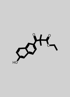 CCOC(=O)C(C)(C)C(=O)c1ccc2cc(O)ccc2c1